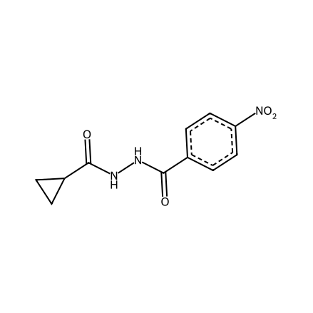 O=C(NNC(=O)C1CC1)c1ccc([N+](=O)[O-])cc1